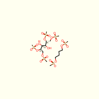 CS(=O)(=O)OCCCCOS(C)(=O)=O.CS(=O)(=O)OC[C@@H](OS(C)(=O)=O)[C@@H](O)[C@H](O)[C@@H](COS(C)(=O)=O)OS(C)(=O)=O